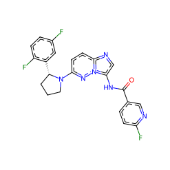 O=C(Nc1cnc2ccc(N3CCC[C@@H]3c3cc(F)ccc3F)nn12)c1ccc(F)nc1